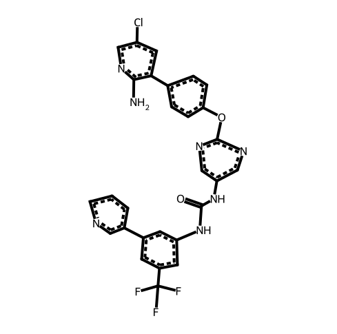 Nc1ncc(Cl)cc1-c1ccc(Oc2ncc(NC(=O)Nc3cc(-c4cccnc4)cc(C(F)(F)F)c3)cn2)cc1